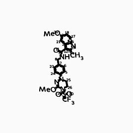 COC1=NN(c2ccc(CNC(=O)c3c(C)nn4ccc(OC)cc34)cc2)CCN1S(=O)(=O)C(F)(F)F